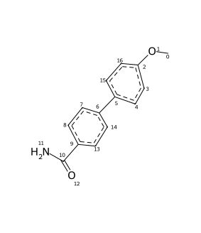 COc1ccc(-c2ccc(C(N)=O)cc2)cc1